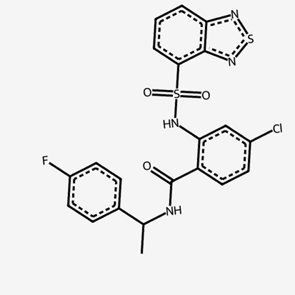 CC(NC(=O)c1ccc(Cl)cc1NS(=O)(=O)c1cccc2nsnc12)c1ccc(F)cc1